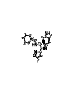 Cc1cc(-c2nc3ccc(N)cn3c2NCc2ccccc2)no1